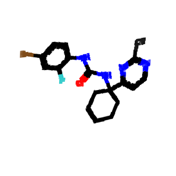 N#Cc1nccc(C2(NC(=O)Nc3ccc(Br)cc3F)CCCCC2)n1